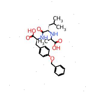 CC(C)C[C@H](N[C@H](C)C(=O)O)C(=O)N[C@@H](Cc1ccc(OCc2ccccc2)cc1)C(=O)O